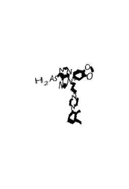 Cc1cccc(N2CCN(CCC[N+]3(c4ccc5c(c4)OCCO5)C=Nc4c([AsH2])ncnc43)CC2)c1C